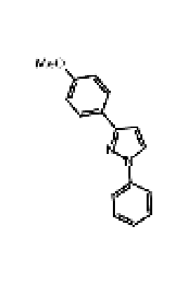 COc1ccc(-c2ccn(-c3ccccc3)n2)cc1